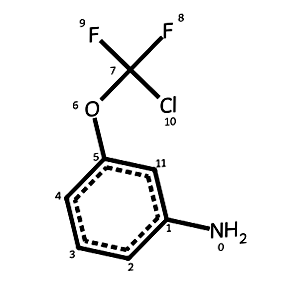 Nc1cccc(OC(F)(F)Cl)c1